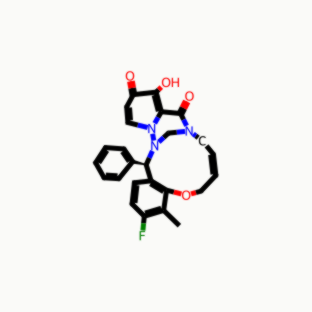 Cc1c(F)ccc2c1OC/C=C\CN1CN([C@@H]2c2ccccc2)n2ccc(=O)c(O)c2C1=O